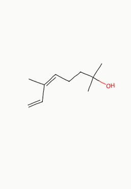 C=C/C(C)=C\CCC(C)(C)O